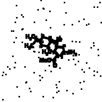 Bc1cc(C(=O)OC)c(C)c(N(CC)C2CCC(N(C)C)CC2)c1